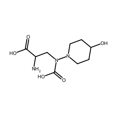 NC(CN(C(=O)O)N1CCC(O)CC1)C(=O)O